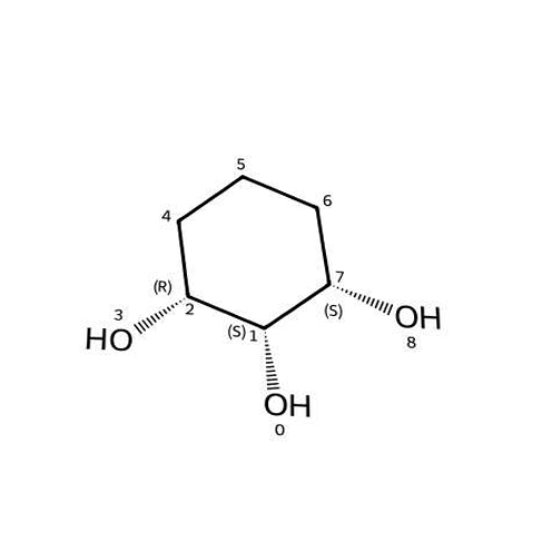 O[C@@H]1[C@H](O)CCC[C@@H]1O